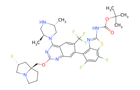 C[C@@H]1CN(c2nc(OC[C@@]34CCCN3C[C@H](F)C4)nc3cc(-c4c(F)cc(F)c5sc(NC(=O)OC(C)(C)C)nc45)c(C(F)(F)F)cc23)[C@@H](C)CN1